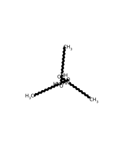 CCCCCCCCCCCCCCCCNC(=O)c1cc(C(=O)NCCCCCCCCCCCCCCCC)cc(C(=O)NCCCCCCCCCCCCCCCC)c1